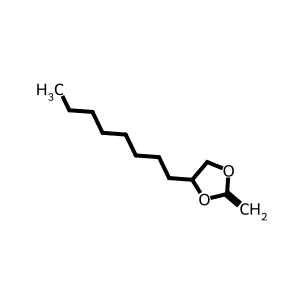 C=C1OCC(CCCCCCCC)O1